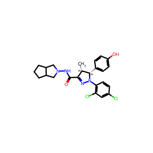 C[C@H]1C(C(=O)NN2CC3CCCC3C2)=NN(c2ccc(Cl)cc2Cl)[C@H]1c1ccc(O)cc1